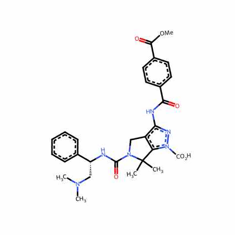 COC(=O)c1ccc(C(=O)Nc2nn(C(=O)O)c3c2CN(C(=O)N[C@H](CN(C)C)c2ccccc2)C3(C)C)cc1